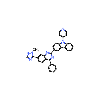 Cn1ncnc1-c1ccc2c(-c3ccccc3)nc(-c3ccc4c(c3)c3ccccc3n4-c3ccncc3)nc2c1